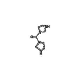 O=C([n+]1cc[nH]c1)[n+]1cc[nH]c1